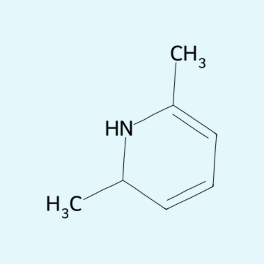 CC1=CC=CC(C)N1